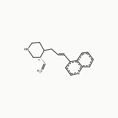 C=C[C@@H]1CNCCC1CC=Cc1ccnc2ccccc12